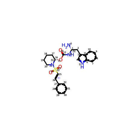 N[C@H](Cc1c[nH]c2ccccc12)NC(=O)O[C@H]1CCCCN1S(=O)(=O)/C=C/c1ccccc1